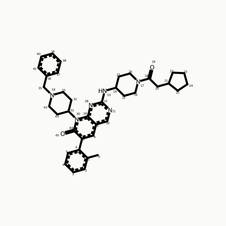 Cc1ccccc1-c1cc2cnc(NC3CCN(C(=O)CC4CCCC4)CC3)nc2n(C2CCN(Cc3ccccc3)CC2)c1=O